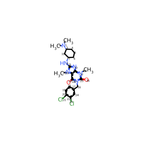 CN(C)[C@H]1CCC[C@@H](Nc2nc3c(c(=O)n(Cc4ccc(Cl)c(Cl)c4)c(=O)n3C)n2C)C1